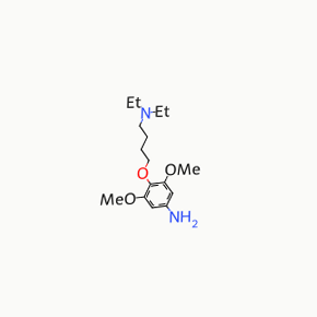 CCN(CC)CCCCOc1c(OC)cc(N)cc1OC